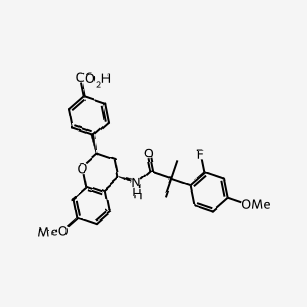 COc1ccc(C(C)(C)C(=O)N[C@@H]2C[C@H](c3ccc(C(=O)O)cc3)Oc3cc(OC)ccc32)c(F)c1